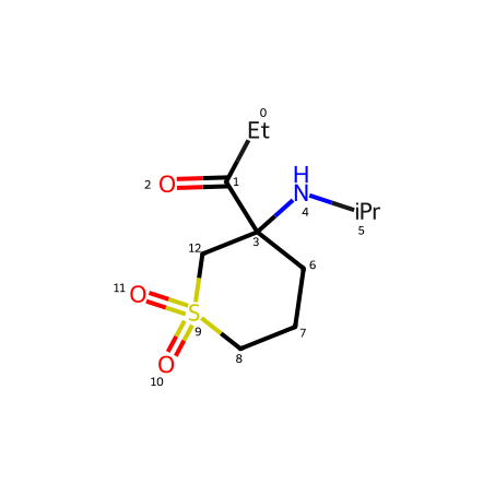 CCC(=O)C1(NC(C)C)CCCS(=O)(=O)C1